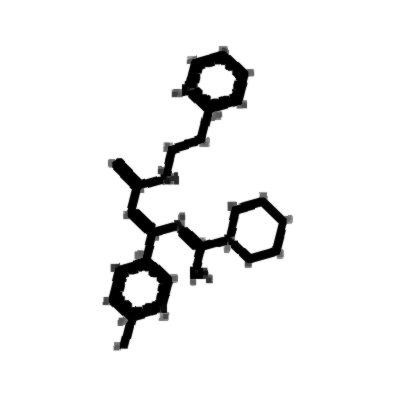 C=C(/C=C(\N=C(/N)N1CCCCC1)c1ccc(C)nc1)NCCc1ccccn1